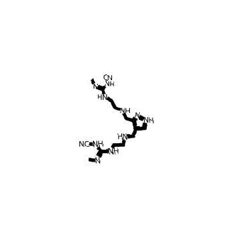 CN=C(NC#N)NCCNCc1c[nH]nc1CNCCNC(=NC)NC#N